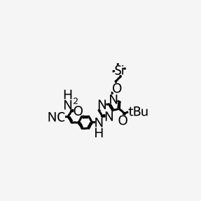 CC(C)(C)C(=O)c1cn(COCC[Si](C)(C)C)c2ncc(Nc3ccc(C=C(C#N)C(N)=O)cc3)nc12